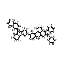 c1ccc(-n2c3ccccc3c3c4cccc5c4c(cc32)Oc2ccc(-c3ccc4c(c3)c3ccccc3n4-c3ccc4ccccc4c3)cc2-5)cc1